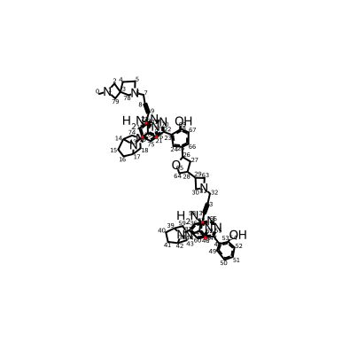 CN1CC2(CCN(CC#Cc3cc(N4C5CCC4CN(c4cc(-c6cc(C7CC(C8CN(CC#Cc9cc(N%10C%11CCC%10CN(c%10cc(-c%12ccccc%12O)nnc%10N)C%11)ccn9)C8)CO7)ccc6O)nnc4N)C5)ccn3)C2)C1